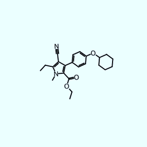 CCOC(=O)c1c(-c2ccc(OC3CCCCC3)cc2)c(C#N)c(CC)n1C